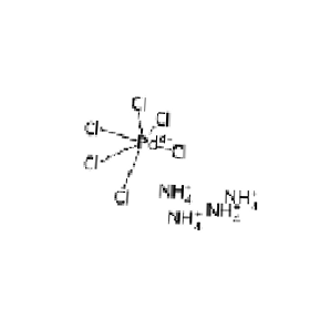 [Cl][Pd-4]([Cl])([Cl])([Cl])([Cl])[Cl].[NH4+].[NH4+].[NH4+].[NH4+]